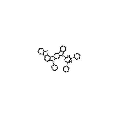 c1ccc(-c2nc(-c3ccccc3)nc(-n3c4ccccc4c4cc5c6c7sc8ccccc8c7ccc6n(-c6ccccc6)c5cc43)n2)cc1